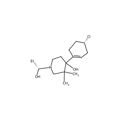 CC[C@@H](O)N1CCC(O)(C2=CC[C@@H](Cl)CC2)C(C)(C)C1